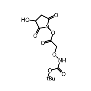 CC(C)(C)OC(=O)NOCC(=O)ON1C(=O)CC(O)C1=O